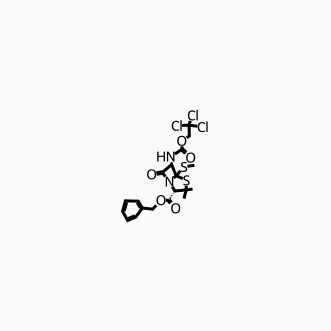 CSC12SC(C)(C)[C@H](C(=O)OCc3ccccc3)N1C(=O)[C@@H]2NC(=O)OCC(Cl)(Cl)Cl